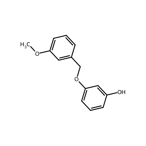 COc1cccc(COc2cccc(O)c2)c1